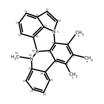 Cc1c(C)c2c3c(c1C)-n1ccc4cccc(c41)B3N(C)c1ccccc1-2